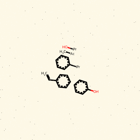 C=Cc1ccccc1.CC(C)=O.CC(C)O.CC(C)c1ccccc1.Oc1ccccc1